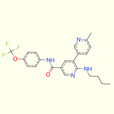 CCCCNc1ncc(C(=O)Nc2ccc(OC(F)(F)F)cc2)cc1-c1ccc(C)nc1